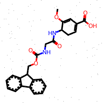 COC1=CC(C(=O)O)=CCC1NC(=O)CNC(=O)OCC1c2ccccc2-c2ccccc21